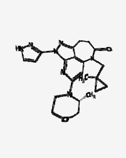 C[C@@H]1COCCN1c1cc2c3c(nn(-c4cc[nH]n4)c3n1)CCC(=O)N2CC1(C)CC1